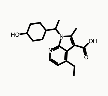 CCc1ccnc2c1c(C(=O)O)c(C)n2C(C)C1CCC(O)CC1